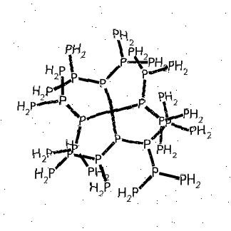 PPP(P)P(P(P(P)P)P(P)P)C(P(P(P)P)P(P)P)(P(P(P)P)P(P)P)P(P(P)P)P(P)P